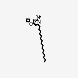 CCCCCCCCCCCCCCCCc1cc(OC2CCC2)nc(N(C)C)n1